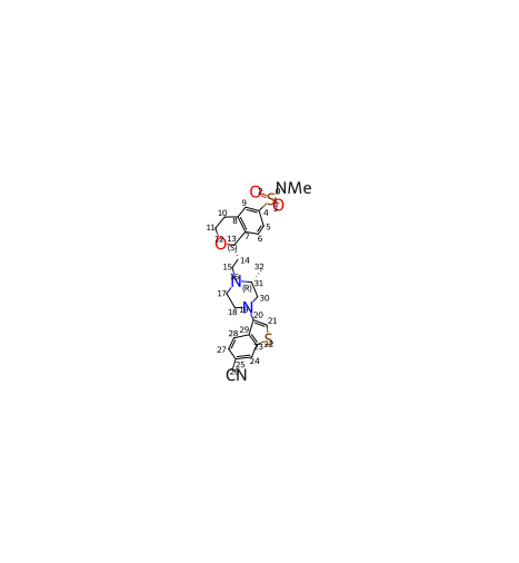 CNS(=O)(=O)c1ccc2c(c1)CCO[C@H]2CCN1CCN(c2csc3cc(C#N)ccc23)C[C@H]1C